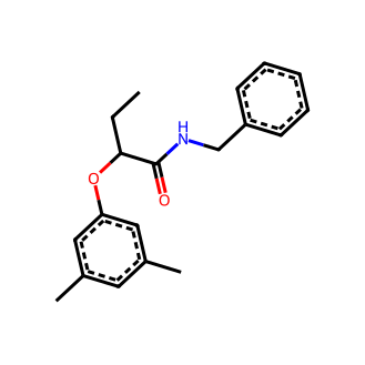 CCC(Oc1cc(C)cc(C)c1)C(=O)NCc1ccccc1